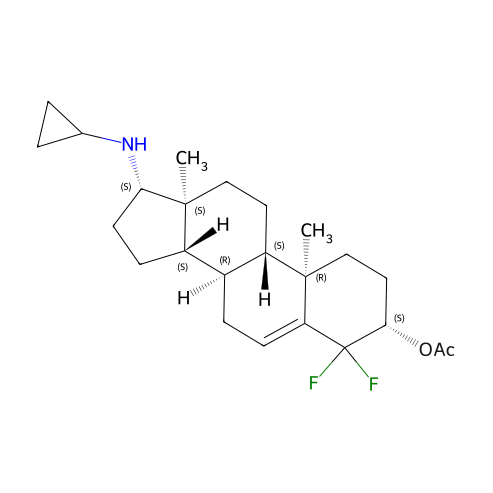 CC(=O)O[C@H]1CC[C@@]2(C)C(=CC[C@H]3[C@@H]4CC[C@H](NC5CC5)[C@@]4(C)CC[C@@H]32)C1(F)F